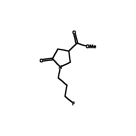 COC(=O)C1CC(=O)N(CCCF)C1